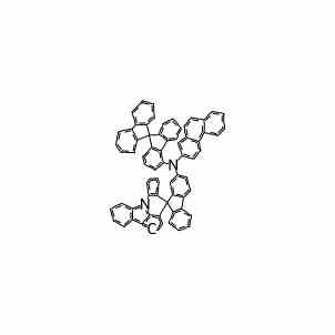 c1ccc2c(c1)-c1ccccc1C21c2ccccc2-c2c(N(c3ccc4c(c3)C3(c5ccccc5-4)c4ccccc4-n4c5ccccc5c5cccc3c54)c3ccc4c(ccc5ccccc54)c3)cccc21